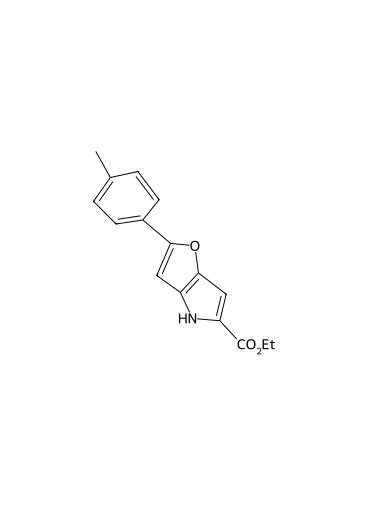 CCOC(=O)c1cc2oc(-c3ccc(C)cc3)cc2[nH]1